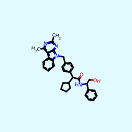 Cc1nc(C)c2c3ccccc3n(Cc3ccc(C(C(=O)NC(CO)c4ccccc4)C4CCCC4)cc3)c2n1